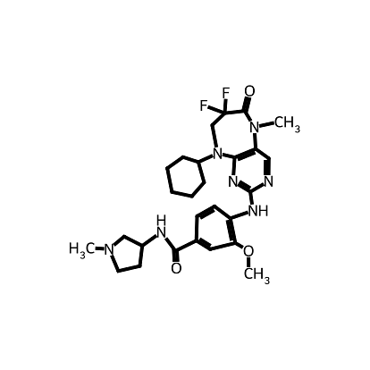 COc1cc(C(=O)NC2CCN(C)C2)ccc1Nc1ncc2c(n1)N(C1CCCCC1)CC(F)(F)C(=O)N2C